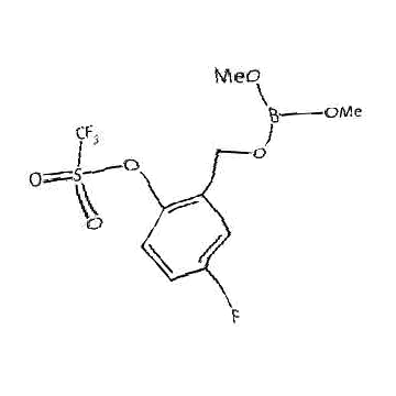 COB(OC)OCc1cc(F)ccc1OS(=O)(=O)C(F)(F)F